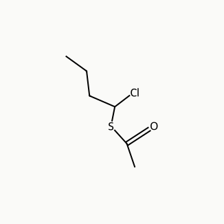 CCCC(Cl)SC(C)=O